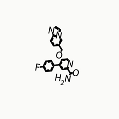 NC(=O)c1cc(-c2ccc(F)cc2)c(OCc2ccc3nccn3c2)cn1